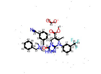 COC(=O)C1=C(C)N(c2cccc(C(F)(F)F)c2)c2n[nH]c(=O)n2[C@@H]1c1ccc(C#N)cc1C[N+](C)(C)Cc1ccccc1.O=C[O-]